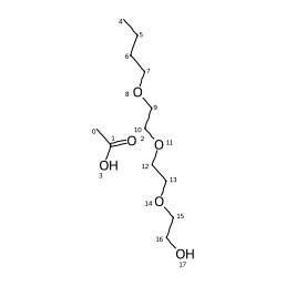 CC(=O)O.CCCCOCCOCCOCCO